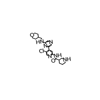 O=C(Nc1cc(-c2cncc(NCC3CCOCC3)n2)c(Cl)cn1)C1CCCNC1